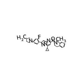 C=C1CCN(c2ccc(-c3cc4nc(C(=O)N5CCc6ccccc6C5C)cc(C5CC5)n4n3)c(F)c2)C1